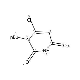 CCCCn1c(Cl)cc(=O)[nH]c1=O